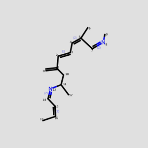 C=C(/C=C/C=C(C)\C=N/C)CC(C)/N=C\C=C/C